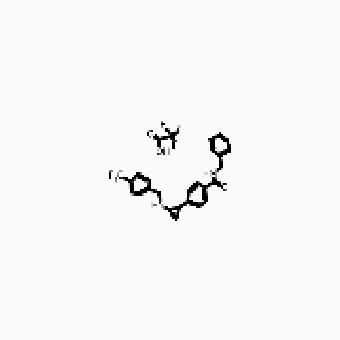 O=C(NCc1ccccc1)c1ccc(C2CC2NCc2ccc(C(F)(F)F)cc2)cc1.O=C(O)C(F)(F)F